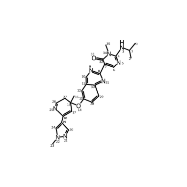 CC(C)Nc1ncc(-c2ncc3cc(OC4(C)C=C(c5cnn(C)c5)N=CC4)ccc3n2)c(=O)n1C